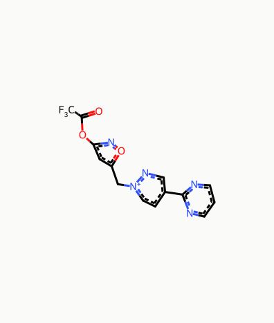 O=C(Oc1cc(C[n+]2ccc(-c3ncccn3)cn2)on1)C(F)(F)F